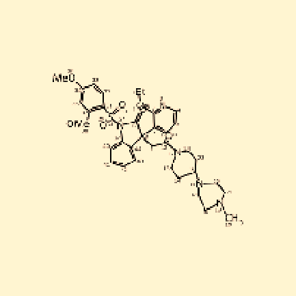 CCOc1ncccc1C1(CC(=O)N2CCC(N3CCN(C)CC3)CC2)C(=O)N(S(=O)(=O)c2ccc(OC)cc2OC)c2ccccc21